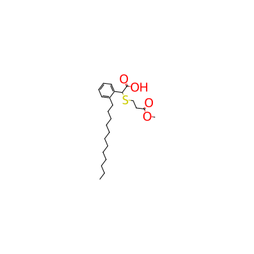 CCCCCCCCCCCCc1ccccc1C(SCCC(=O)OC)C(=O)O